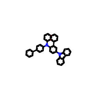 c1ccc(-c2ccc(N(c3ccccc3)c3ccc(-n4c5ccccc5c5ccccc54)cc3-c3ccccc3)cc2)cc1